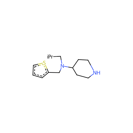 CC(C)CN(Cc1cccs1)C1CCNCC1